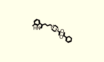 Cc1cccc2c(CCCN3CCN(C4=COC(C5=CC=CCC5)=CO4)CC3)c[nH]c12